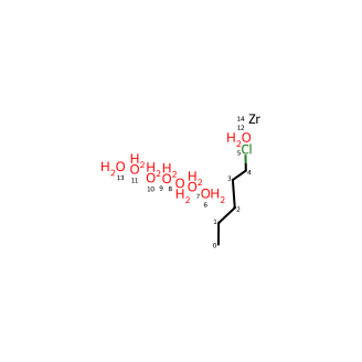 CCCCCCl.O.O.O.O.O.O.O.O.[Zr]